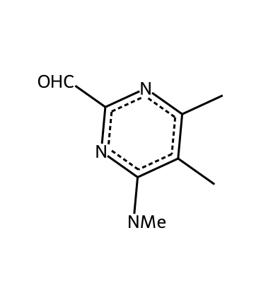 CNc1nc(C=O)nc(C)c1C